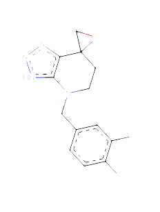 Clc1ccc(CN2CCC3(CO3)c3nn[nH]c32)cc1Cl